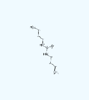 CCCCN[S+]([O-])NCCCC